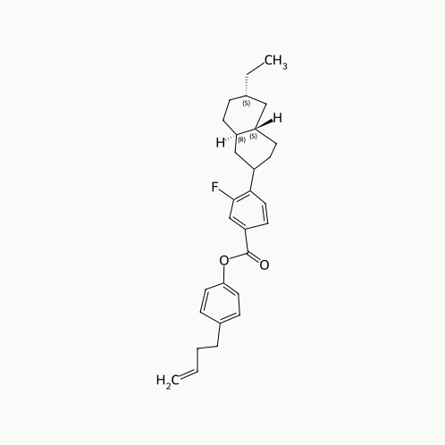 C=CCCc1ccc(OC(=O)c2ccc(C3CC[C@H]4C[C@@H](CC)CC[C@@H]4C3)c(F)c2)cc1